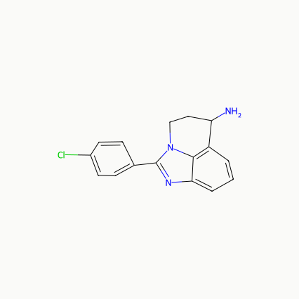 NC1CCn2c(-c3ccc(Cl)cc3)nc3cccc1c32